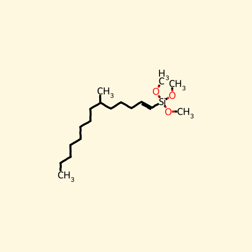 CCCCCCCCC(C)CCCC=C[Si](OC)(OC)OC